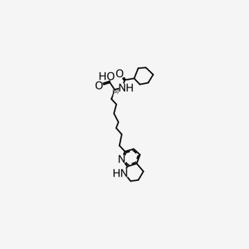 O=C(N[C@@H](CCCCCCCc1ccc2c(n1)NCCC2)C(=O)O)C1CCCCC1